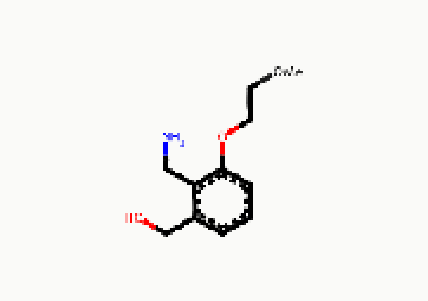 COCCOc1cccc(CO)c1CN